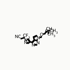 C[Si](C)(C)CCOCn1ccc2c(-c3cnn([C@@H](CC#N)C(F)(F)F)c3)ncnc21